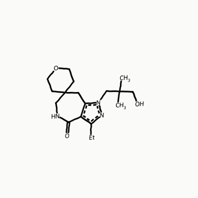 CCc1nn(CC(C)(C)CO)c2c1C(=O)NCC1(CCOCC1)C2